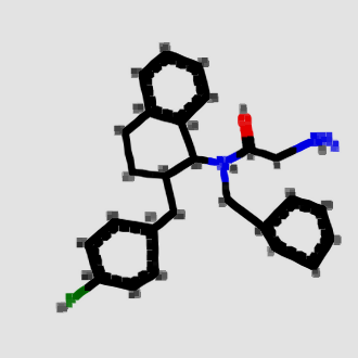 NCC(=O)N(Cc1ccccc1)C1c2ccccc2CCC1Cc1ccc(F)cc1